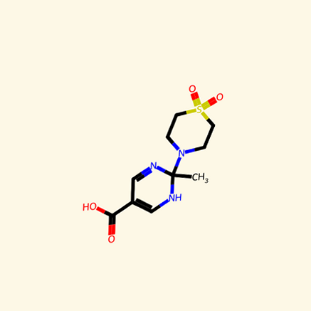 CC1(N2CCS(=O)(=O)CC2)N=CC(C(=O)O)=CN1